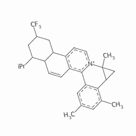 Cc1cc(C)c2c(c1)-c1c3c(cc[n+]1C1(C)CC21)C1CC(C(F)(F)F)CC(C(C)C)C1C=C3